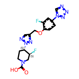 O=C(O)N1CC[C@H](n2ncc(COc3ccc(-n4cnnn4)cc3F)n2)[C@@H](F)C1